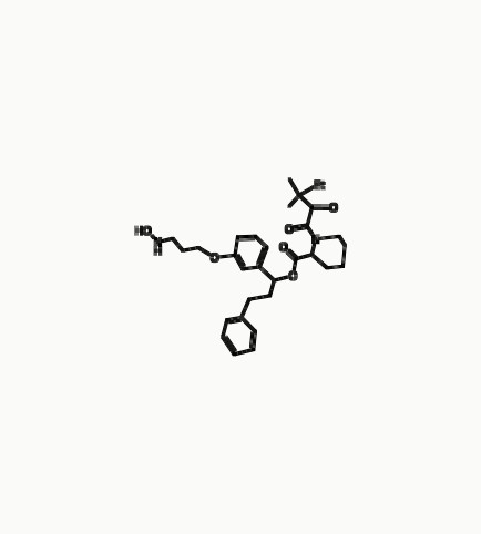 CCC(C)(C)C(=O)C(=O)N1CCCCC1C(=O)OC(CCc1ccccc1)c1cccc(OCCCNO)c1